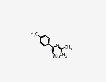 CCCC/C=C(\N=C(C)C)c1ccc(C)cc1